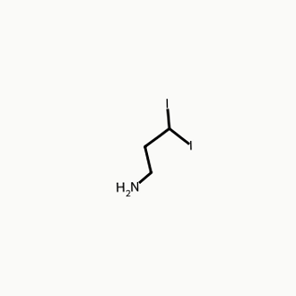 NCCC(I)I